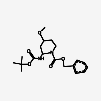 COC1CCN(C(=O)OCc2ccccc2)C(NC(=O)OC(C)(C)C)C1